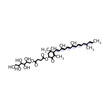 C/C=C/C(C)=C/C=C/C=C(C)/C=C/C=C(C)/C=C/C1=C(C)C(=O)C(OC(=O)CCC(=O)OCC(O)C(O)C(O)C(O)CO)CC1(C)C